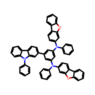 c1ccc(N(c2cc(-c3ccc4c5ccccc5n(-c5ccccc5)c4c3)cc(N(c3ccccc3)c3ccc4c(c3)oc3ccccc34)c2)c2ccc3c(c2)oc2ccccc23)cc1